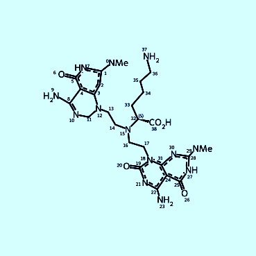 CNc1cc2c(c(=O)[nH]1)C(N)=NCN2CCN(CCn1c(=O)nc(N)c2c(=O)[nH]c(NC)nc21)[C@@H](CCCCN)C(=O)O